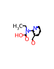 CCN(C(=O)O)c1ncccc1C=O